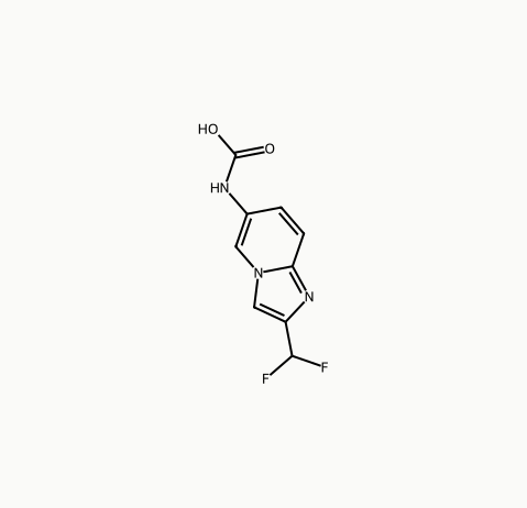 O=C(O)Nc1ccc2nc(C(F)F)cn2c1